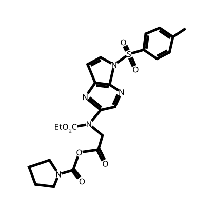 CCOC(=O)N(CC(=O)OC(=O)N1CCCC1)c1cnc2c(ccn2S(=O)(=O)c2ccc(C)cc2)n1